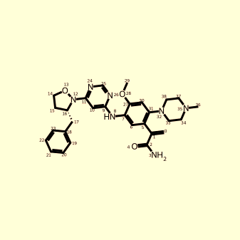 C=C(C(N)=O)c1cc(Nc2cc(N3OCC[C@H]3Cc3ccccc3)ncn2)c(OC)cc1N1CCN(C)CC1